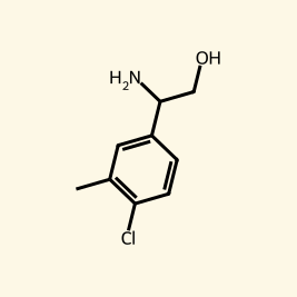 Cc1cc(C(N)CO)ccc1Cl